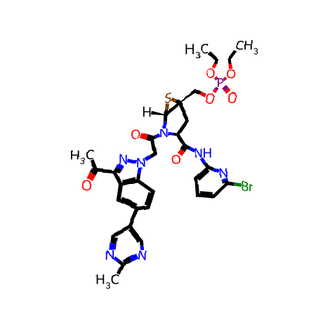 CCOP(=O)(OCC)OC[C@@]12CC(C(=O)Nc3cccc(Br)n3)N(C(=O)Cn3nc(C(C)=O)c4cc(-c5cnc(C)nc5)ccc43)[C@@H]1S2